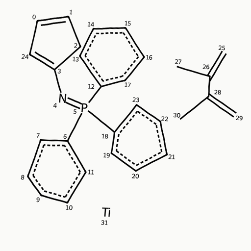 C1=CCC(N=P(c2ccccc2)(c2ccccc2)c2ccccc2)=C1.C=C(C)C(=C)C.[Ti]